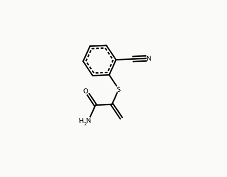 C=C(Sc1ccccc1C#N)C(N)=O